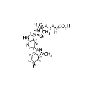 Cn1nc(-c2cnc3[nH]cc(C(=O)NC(C)(C)CCCNC(=O)O)c3n2)c2ccc(F)cc21